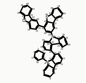 c1ccc(-n2c3ccccc3c3cccc(-c4cccc5c4c4ccccc4n5-c4cc(-c5ccc6oc7ccccc7c6c5)c5sc6ccccc6c5c4)c32)cc1